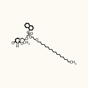 CCCCCCCCCCCCCCCCCCOCCOP(=O)(COC(C)Cn1ccc(=O)[nH]c1=O)Oc1cccc2ccccc12